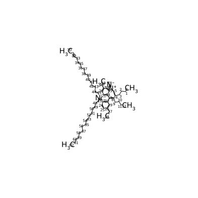 CCCCC(=C=[N+]=[N-])C(CCCC)=C(c1ccc(CC)cc1)c1cccc(CC)c1.CCCCCCCCCCCCCCC[CH2][Ni][CH2]CCCCCCCCCCCCCCC